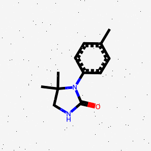 Cc1ccc(N2C(=O)NCC2(C)C)cc1